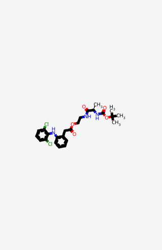 C[C@H](NC(=O)OC(C)(C)C)C(=O)NCCOC(=O)Cc1ccccc1Nc1c(Cl)cccc1Cl